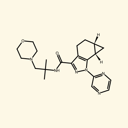 CC(C)(CN1CCOCC1)NC(=O)c1nn(-c2cnccn2)c2c1CC[C@@H]1C[C@H]21